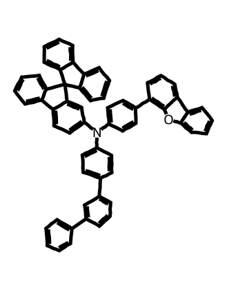 c1ccc(-c2cccc(-c3ccc(N(c4ccc(-c5cccc6c5oc5ccccc56)cc4)c4ccc5c(c4)C4(c6ccccc6-c6ccccc64)c4ccccc4-5)cc3)c2)cc1